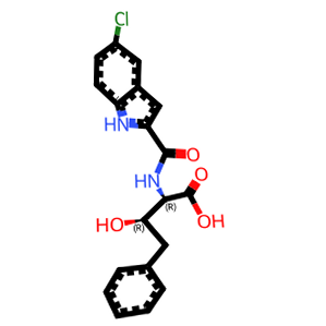 O=C(N[C@@H](C(=O)O)[C@H](O)Cc1ccccc1)c1cc2cc(Cl)ccc2[nH]1